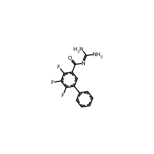 NC(N)=NC(=O)c1cc(-c2ccccc2)c(F)c(F)c1F